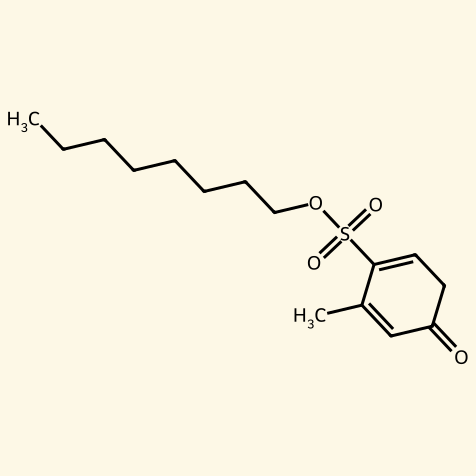 CCCCCCCCOS(=O)(=O)C1=CCC(=O)C=C1C